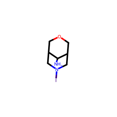 NC1C2COCC1CN(I)C2